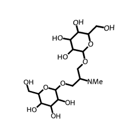 CNC(COC1OC(CO)C(O)C(O)C1O)COC1OC(CO)C(O)C(O)C1O